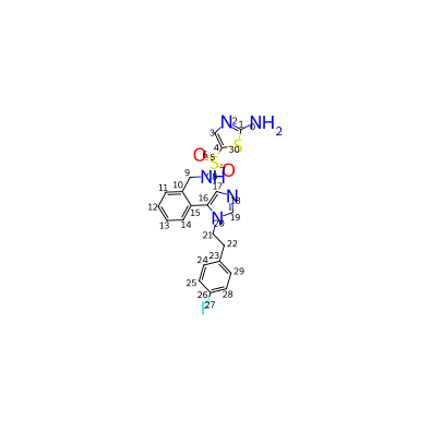 Nc1ncc(S(=O)(=O)NCc2ccccc2-c2cncn2CCc2ccc(F)cc2)s1